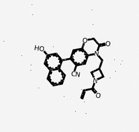 C=CC(=O)N1CC(CN2C(=O)COc3cc(-c4cc(O)cc5ccccc45)c(C#N)cc32)C1